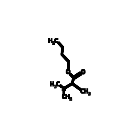 CCCCOC(=O)C(C)N(C)C